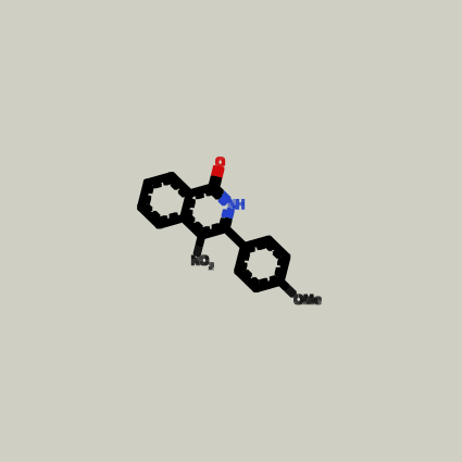 COc1ccc(-c2[nH]c(=O)c3ccccc3c2[N+](=O)[O-])cc1